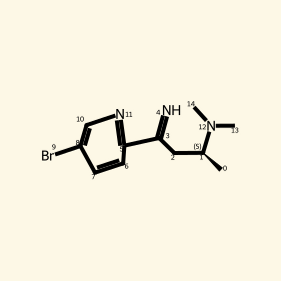 C[C@@H](CC(=N)c1ccc(Br)cn1)N(C)C